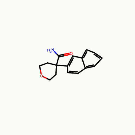 NC(=O)C1(c2ccc3ccccc3c2)CCOCC1